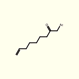 C=CCCCCCC(=O)CC(C)=O